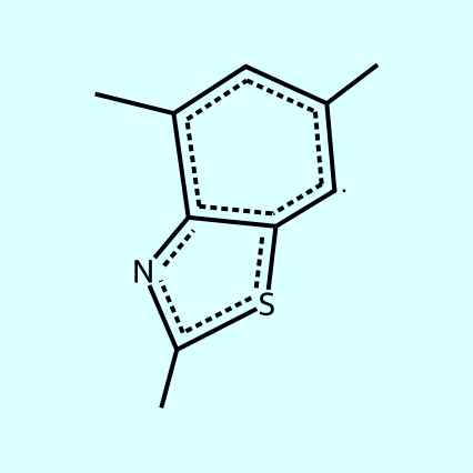 Cc1[c]c2sc(C)nc2c(C)c1